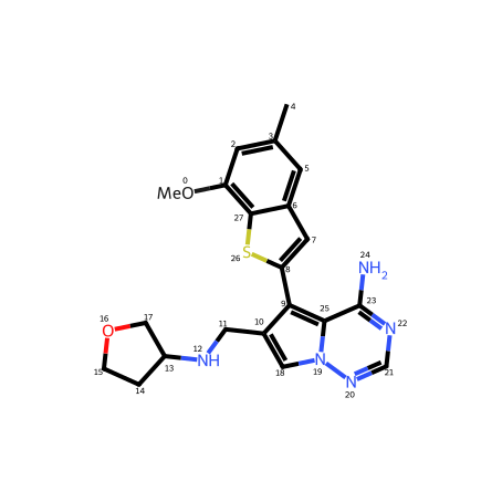 COc1cc(C)cc2cc(-c3c(CNC4CCOC4)cn4ncnc(N)c34)sc12